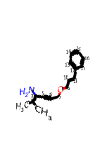 CC(C)C(N)C#CCOCCCc1ccccc1